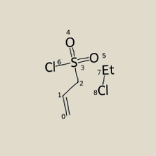 C=CCS(=O)(=O)Cl.CCCl